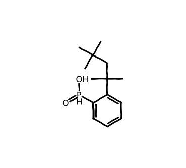 CC(C)(C)CC(C)(C)c1ccccc1[PH](=O)O